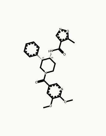 COc1cc(C(=O)N2CC[C@@H](NC(=O)c3cnoc3C)[C@@H](c3ccccc3)C2)cnc1OC